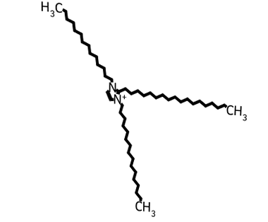 CCCCCCCCCCCCCCCCCCc1n(CCCCCCCCCCCCCC)cc[n+]1CCCCCCCCCCCCCCCC